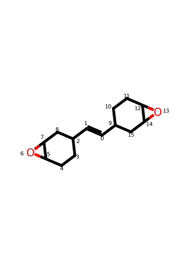 C(=C\C1CCC2OC2C1)/C1CCC2OC2C1